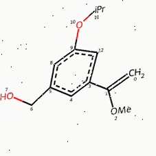 C=C(OC)c1cc(CO)cc(OC(C)C)c1